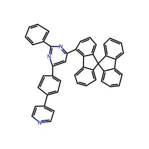 c1ccc(-c2nc(-c3ccc(-c4ccncc4)cc3)cc(-c3cccc4c3-c3ccccc3C43c4ccccc4-c4ccccc43)n2)cc1